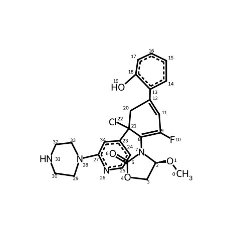 CO[C@H]1COC(=O)N1C1=C(F)C=C(c2ccccc2O)CC1(Cl)c1ccnc(N2CCNCC2)c1